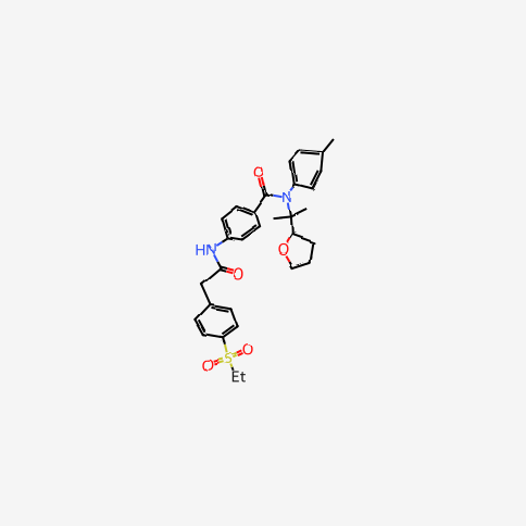 CCS(=O)(=O)c1ccc(CC(=O)Nc2ccc(C(=O)N(c3ccc(C)cc3)C(C)(C)C3CCCO3)cc2)cc1